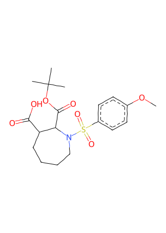 COc1ccc(S(=O)(=O)N2CCCCC(C(=O)O)C2C(=O)OC(C)(C)C)cc1